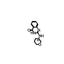 O=c1[nH]c(N[C@@H]2CCCOC2)nc2ccccc12